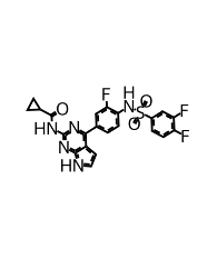 O=C(Nc1nc(-c2ccc(NS(=O)(=O)c3ccc(F)c(F)c3)c(F)c2)c2cc[nH]c2n1)C1CC1